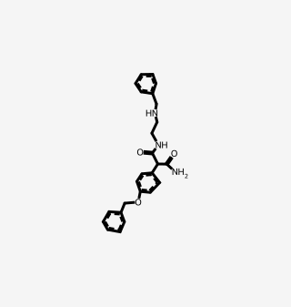 NC(=O)C(C(=O)NCCNCc1ccccc1)c1ccc(OCc2ccccc2)cc1